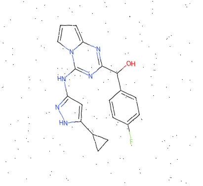 OC(c1ccc(F)cc1)c1nc(Nc2cc(C3CC3)[nH]n2)n2cccc2n1